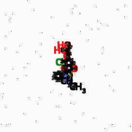 CCC/N=C1\SC(C(=O)c2ccc(OC[C@H](O)CO)c(Cl)c2)C(=O)N1c1ccccc1C